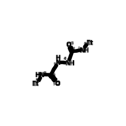 CCNC(=O)NNC(=O)NCC